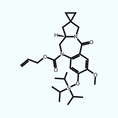 C=CCOC(=O)N1C[C@@H]2CC3(CC3)CN2C(=O)c2cc(OC)c(O[Si](C(C)C)(C(C)C)C(C)C)cc21